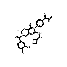 CNC(=O)c1ccc(-n2c(N[C@H](C)C3CCC3)nc3c(c2=O)C[C@@H](C)N(C(=O)c2ccc(Cl)c(Cl)c2)C3)cc1